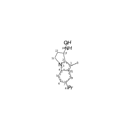 Cc1c2n(c3ccc(C(C)C)cc13)CCC2NO